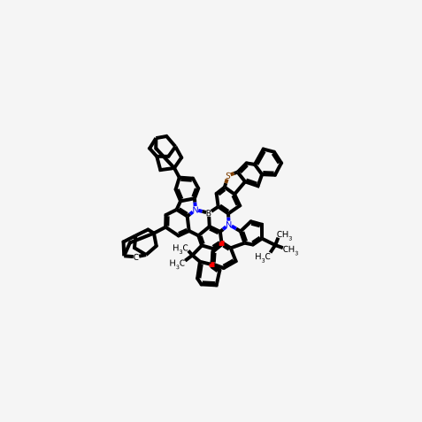 CC(C)(C)c1ccc(N2c3cc4c(cc3B3c5c2cc2c(c5-c5cc(C67CC8CC(CC(C8)C6)C7)cc6c7cc(C89CC%10CC(CC(C%10)C8)C9)ccc7n3c56)C(C)(C)c3ccccc3-2)sc2cc3ccccc3cc24)c(-c2ccccc2)c1